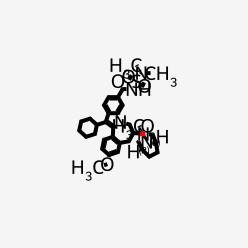 COc1ccc2c(c1)CC(C(=O)N1[C@@H]3CC[C@H]1CN(C)C3)Cn1c-2c(C2CCCCC2)c2ccc(C(=O)NS(=O)(=O)N(C)C)cc21